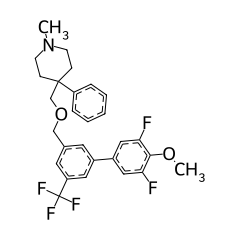 COc1c(F)cc(-c2cc(COCC3(c4ccccc4)CCN(C)CC3)cc(C(F)(F)F)c2)cc1F